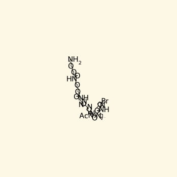 CC(=O)c1nn(CC(=O)N2C3C[C@]3(C)C[C@H]2C(=O)Nc2nc(Br)ccc2C)c2cnc(-c3cnc(CNC(=O)COCCOCCNC(=O)COCCOCCN)nc3)cc12